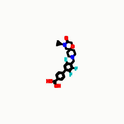 O=C1COC2(CCN(Cc3c(F)cc(-c4ccc(B(O)O)cc4)c(F)c3F)CC2)CN1C1CC1